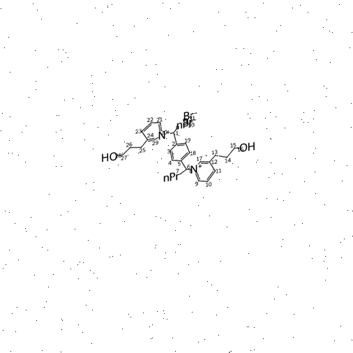 CCCC(c1ccc(C(CCC)[n+]2cccc(CCCO)c2)cc1)[n+]1cccc(CCCO)c1.[Br-].[Br-]